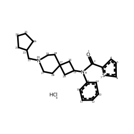 Cl.O=C(c1cccs1)N(c1ccccc1)C1CC2(CCN(CC3CCCC3)CC2)C1